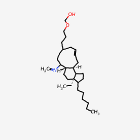 C=NC1CCC(CCCOCO)C/C=C/C[C@H]2C3CCC(CCCCCC)[C@@]3(CC)CC[C@H]12